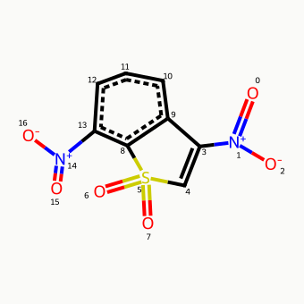 O=[N+]([O-])C1=CS(=O)(=O)c2c1cccc2[N+](=O)[O-]